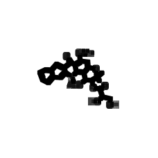 COc1cc2c(c3c1c(=O)c1cc4ccccc4cc1n3C)C(OC(C)=O)C(OC(=O)C(O)CO)C(C)(C)O2